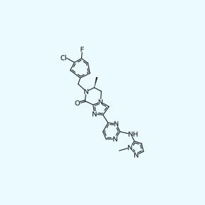 C[C@H]1Cn2cc(-c3ccnc(Nc4ccnn4C)n3)nc2C(=O)N1Cc1ccc(F)c(Cl)c1